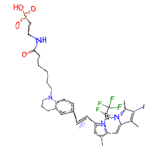 CC1=C(I)C(C)=[N+]2C1=Cc1c(C)cc(/C=C/c3ccc4c(c3)CCCN4CCCCCC(=O)NCCS(=O)(=O)O)n1[B-]2(F)C(F)(F)F